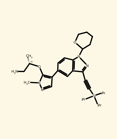 CC(C)[Si](C#Cc1nn(C2CCCCO2)c2ccc(-c3cnn(C)c3O[C@@H](C)CN)cc12)(C(C)C)C(C)C